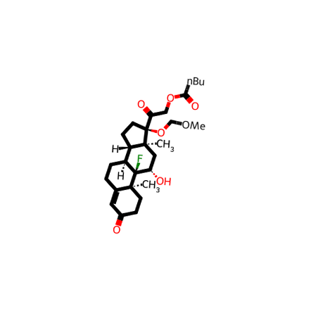 CCCCC(=O)OCC(=O)[C@@]1(OCOC)CC[C@H]2[C@@H]3CCC4=CC(=O)CC[C@]4(C)[C@@]3(F)[C@@H](O)C[C@@]21C